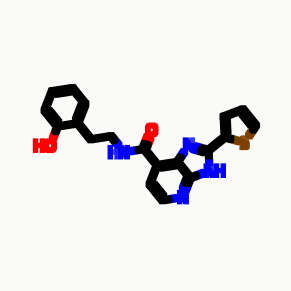 O=C(NCCc1ccccc1O)c1ccnc2[nH]c(-c3cccs3)nc12